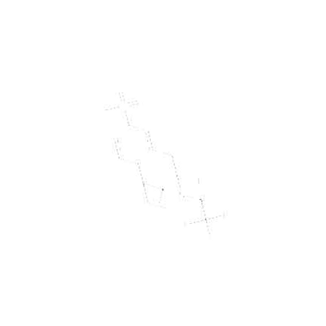 CC1(C)[C@H]2Cc3cc(S(=O)(=O)Cl)ccc3[C@]1(C)CCN2C(=O)C(F)(F)F